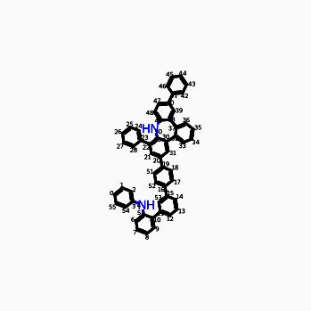 c1ccc(Nc2ccccc2-c2cccc(-c3ccc(-c4cc(-c5ccccc5)c5c(c4)-c4ccccc4-c4cc(-c6ccccc6)ccc4N5)cc3)c2)cc1